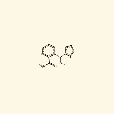 CC(c1cccs1)c1cccnc1C(N)=O